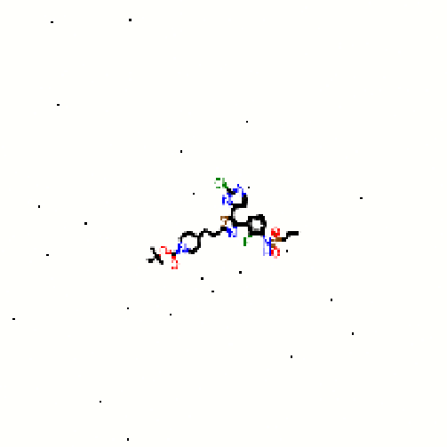 CCCS(=O)(=O)Nc1cccc(-c2nc(CCC3CCN(C(=O)OC(C)(C)C)CC3)sc2-c2ccnc(Cl)n2)c1F